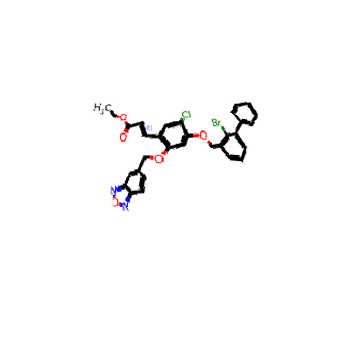 CCOC(=O)/C=C/c1cc(Cl)c(OCc2cccc(-c3ccccc3)c2Br)cc1OCc1ccc2nonc2c1